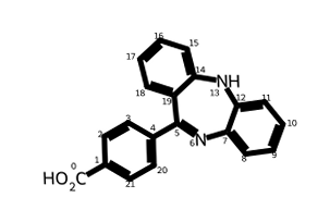 O=C(O)c1ccc(C2=Nc3ccccc3Nc3ccccc32)cc1